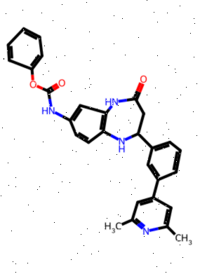 Cc1cc(-c2cccc(C3CC(=O)Nc4cc(NC(=O)Oc5ccccc5)ccc4N3)c2)cc(C)n1